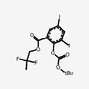 CC(F)(F)COC(=O)c1cc(I)cc(I)c1OC(=O)OC(C)(C)C